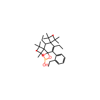 CCC1=C(c2ccccc2CC)C2(OP(O)O2)C(C(C)(C)C)(C(C)(C)C)C(CC)C1(C(C)(C)C)C(C)(C)C